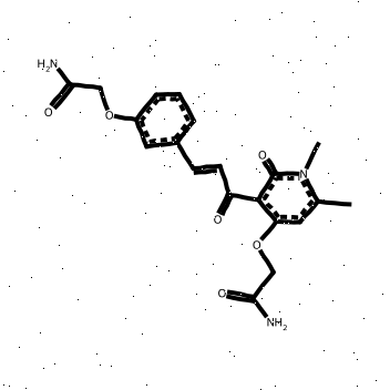 Cc1cc(OCC(N)=O)c(C(=O)/C=C/c2cccc(OCC(N)=O)c2)c(=O)n1C